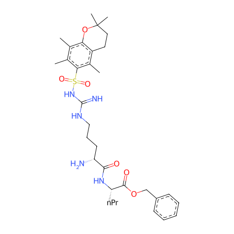 CCC[C@H](NC(=O)[C@H](N)CCCNC(=N)NS(=O)(=O)c1c(C)c(C)c2c(c1C)CCC(C)(C)O2)C(=O)OCc1ccccc1